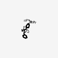 CCCN(CCC)c1ccc(C(=O)C(CC)(CCc2ccccc2)N(C)C)cc1